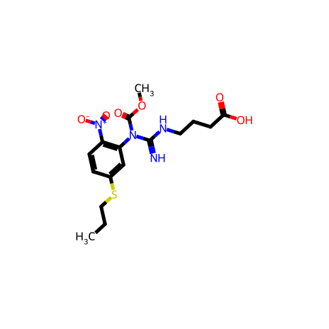 CCCSc1ccc([N+](=O)[O-])c(N(C(=N)NCCCC(=O)O)C(=O)OC)c1